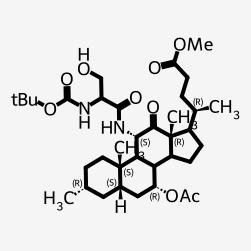 COC(=O)CC[C@@H](C)C1CCC2C3C([C@H](NC(=O)C(CO)NC(=O)OC(C)(C)C)C(=O)[C@@]21C)[C@@]1(C)CC[C@@H](C)C[C@H]1C[C@H]3OC(C)=O